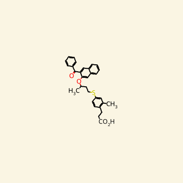 Cc1cc(SCCC(C)Oc2cc3ccccc3cc2C(=O)c2ccccc2)ccc1CCC(=O)O